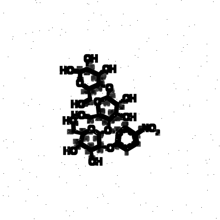 O=[N+]([O-])c1ccc(O[C@H]2[C@@H](O[C@H]3[C@H](O)[C@@H](O)[C@@H](O[C@H]4[C@H](O)[C@@H](O)C(O)O[C@@H]4CO)O[C@@H]3CO)O[C@H](CO)[C@@H](O)[C@@H]2O)cc1